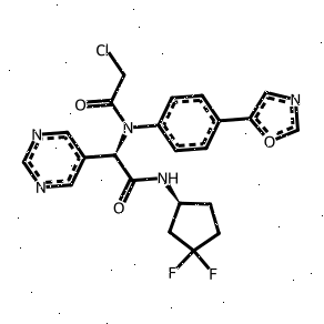 O=C(N[C@H]1CCC(F)(F)C1)[C@@H](c1cncnc1)N(C(=O)CCl)c1ccc(-c2cnco2)cc1